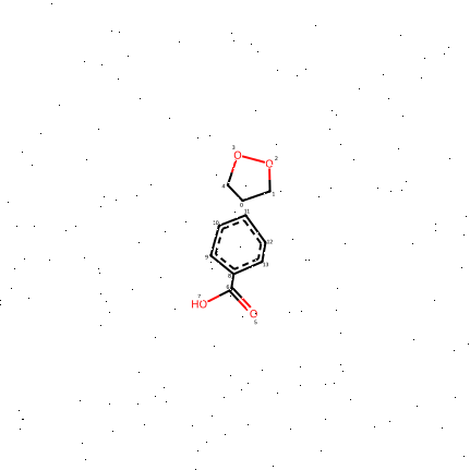 C1COOC1.O=C(O)c1ccccc1